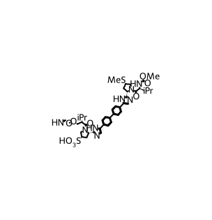 COC(=O)N[C@H](C(=O)N1C[C@@H](SC)C[C@H]1c1ncc(-c2ccc(-c3ccc(-c4cnc([C@@H]5C[C@H](S(=O)(=O)O)CN5C(=O)[C@@H](COOC=N)C(C)C)[nH]4)cc3)cc2)[nH]1)C(C)C